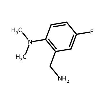 CN(C)c1ccc(F)cc1CN